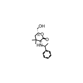 CC(N[C@H]1C(=O)O[C@@H](CO)CC1(C)C)c1ccccc1